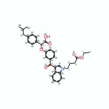 CCOC(=O)CCCn1cc(C(=O)c2cccc(OC(C(=O)O)c3ccc(CC(C)C)cc3)c2)c2ccccc21